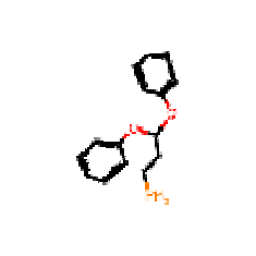 PCCC(Oc1ccccc1)Oc1ccccc1